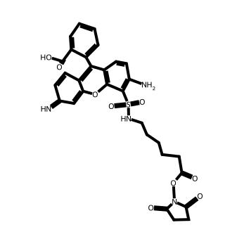 N=c1ccc2c(-c3ccccc3C(=O)O)c3ccc(N)c(S(=O)(=O)NCCCCCC(=O)ON4C(=O)CCC4=O)c3oc-2c1